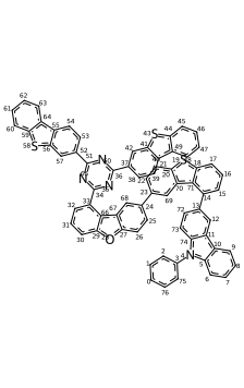 c1ccc(-n2c3ccccc3c3cc(-c4cccc5sc6ccc(-c7ccc8oc9cccc(-c%10nc(-c%11ccc%12c(c%11)sc%11ccccc%11%12)nc(-c%11ccc%12c(c%11)sc%11ccccc%11%12)n%10)c9c8c7)cc6c45)ccc32)cc1